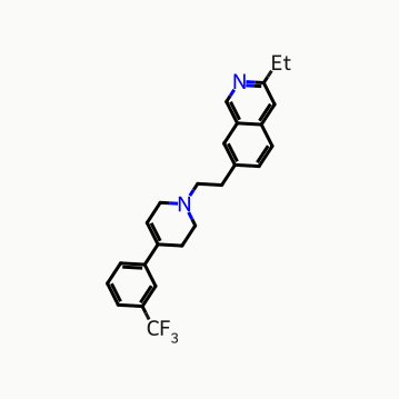 CCc1cc2ccc(CCN3CC=C(c4cccc(C(F)(F)F)c4)CC3)cc2cn1